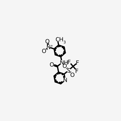 Cc1ccc(NC(=O)c2cccnc2S(=O)(=O)C(F)(F)F)cc1[N+](=O)[O-]